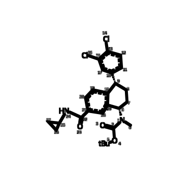 CN(C(=O)OC(C)(C)C)[C@H]1CC[C@@H](c2ccc(Cl)c(Cl)c2)c2ccc(C(=O)NC3CC3)cc21